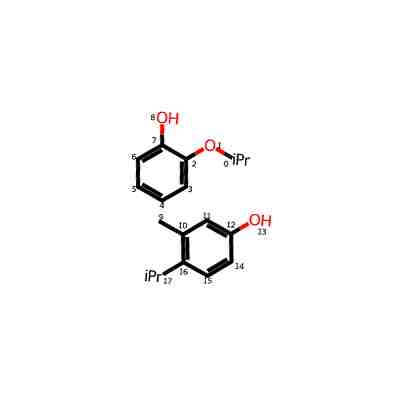 CC(C)Oc1ccccc1O.Cc1cc(O)ccc1C(C)C